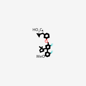 COc1ccc(F)c(-c2cc(F)c(COc3cccc([C@@H](CC(=O)O)C4CC4)c3)cc2C2=CCCC2(C)C)c1